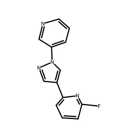 Fc1cccc(-c2cnn(-c3cccnc3)c2)n1